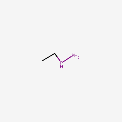 CCPP